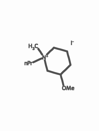 CCC[N+]1(C)CCCC(OC)C1.[I-]